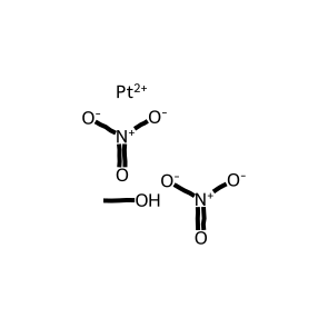 CO.O=[N+]([O-])[O-].O=[N+]([O-])[O-].[Pt+2]